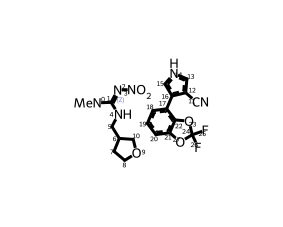 CN/C(=N/[N+](=O)[O-])NCC1CCOC1.N#Cc1c[nH]cc1-c1cccc2c1OC(F)(F)O2